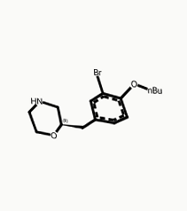 CCCCOc1ccc(C[C@@H]2CNCCO2)cc1Br